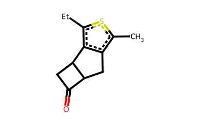 CCc1sc(C)c2c1C1CC(=O)C1C2